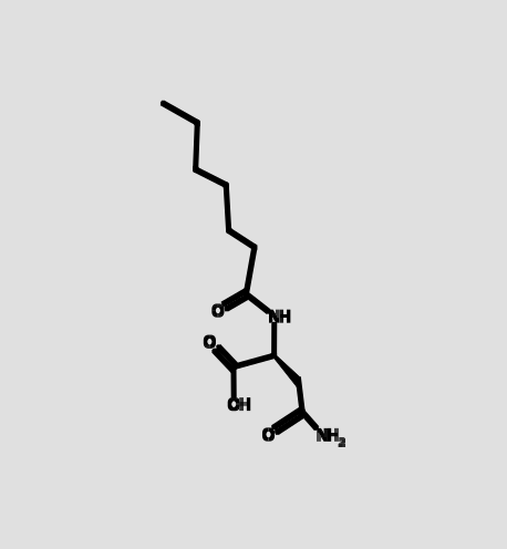 CCCCCCC(=O)N[C@@H](CC(N)=O)C(=O)O